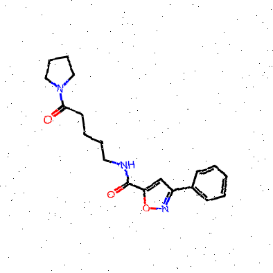 O=C(NCCCCC(=O)N1CCCC1)c1cc(-c2ccccc2)no1